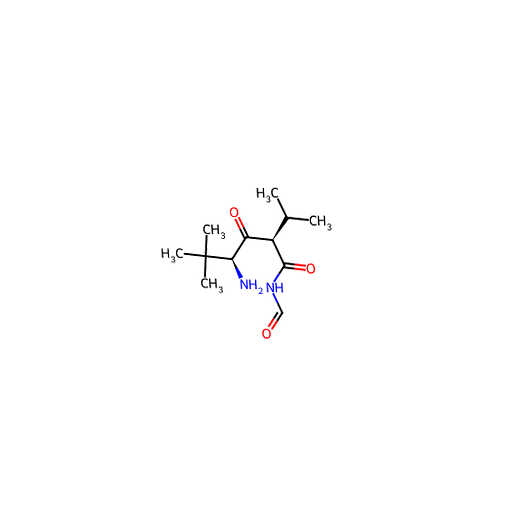 CC(C)[C@@H](C(=O)NC=O)C(=O)[C@@H](N)C(C)(C)C